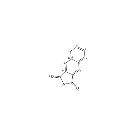 O=C1[N]C(=O)c2cc3ccccc3cc21